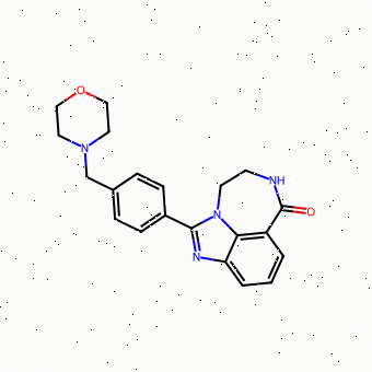 O=C1NCCn2c(-c3ccc(CN4CCOCC4)cc3)nc3cccc1c32